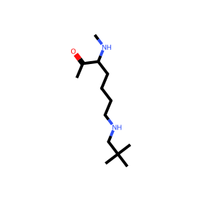 CNC(CCCCNCC(C)(C)C)C(C)=O